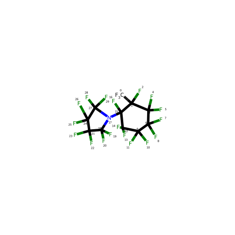 FC(F)(F)C1(F)C(F)(F)C(F)(F)C(F)(F)C(F)(F)C1(F)N1C(F)(F)C(F)(F)C(F)(F)C1(F)F